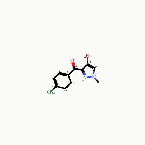 Cn1cc(Br)c(C(=O)C2=CC=C(Cl)CC2)n1